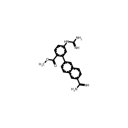 COC(=O)c1ccc(NC(=N)N)cc1-c1ccc2cc(C(=N)N)ccc2c1